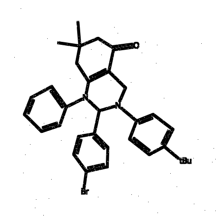 CC1(C)CC(=O)C2=C(C1)N(c1ccccc1)C(c1ccc(Br)cc1)N(c1ccc(C(C)(C)C)cc1)C2